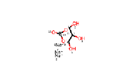 OCC(O)CO.[Na+].[Na+].[Na+].[O-]B([O-])[O-]